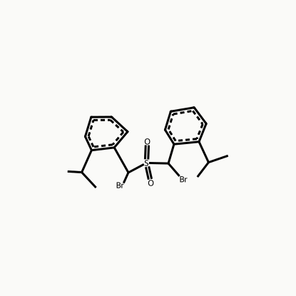 CC(C)c1ccccc1C(Br)S(=O)(=O)C(Br)c1ccccc1C(C)C